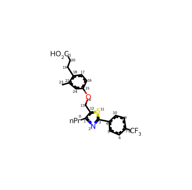 CCCc1nc(-c2ccc(C(F)(F)F)cc2)sc1COc1ccc(CCC(=O)O)c(C)c1